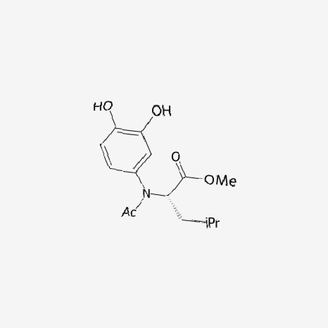 COC(=O)[C@H](CC(C)C)N(C(C)=O)c1ccc(O)c(O)c1